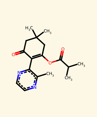 Cc1nccnc1C1=C(OC(=O)C(C)C)CC(C)(C)CC1=O